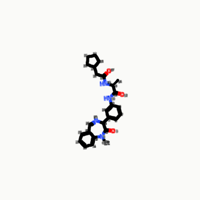 CCN1C(=O)C(c2cccc(NC(=O)[C@H](C)NC(=O)CC3CCCC3)c2)N=Cc2ccccc21